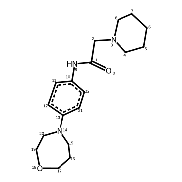 O=C(CN1CCCCC1)Nc1ccc(N2CCCOCC2)cc1